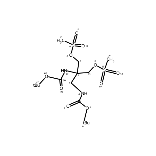 CC(C)(C)OC(=O)NCC(COS(C)(=O)=O)(COS(C)(=O)=O)NC(=O)OC(C)(C)C